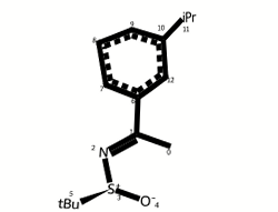 C/C(=N\[S@@+]([O-])C(C)(C)C)c1cccc(C(C)C)c1